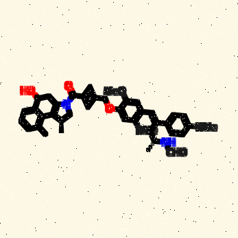 CNc1ccc(/C(=C/c2cc(OC)c(OCC34CC3(C(=O)N3C[C@@H](C)C5=C3CC(O)c3cccc(C)c35)C4)cc2NC)C[C@@H](C)NC=O)cc1